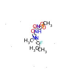 CCc1c(-c2ccc(CC(C)C)c(F)c2)nc2cc(C(=O)N[C@@H](CO)c3ccc(S(=O)(=O)CC)cn3)ccn12